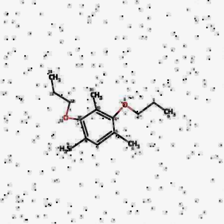 CCCOc1c(C)cc([SiH3])c(OCCC)c1C